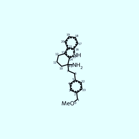 COCc1ccc(CCC2(N)CCCc3c2[nH]c2ccccc32)cc1